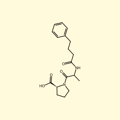 CC(NC(=O)CCCc1ccccc1)C(=O)N1CCC[C@H]1C(=O)O